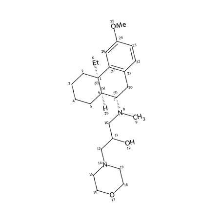 CC[C@@]12CCCC[C@@H]1[C@@H](N(C)CC(O)CN1CCOCC1)Cc1ccc(OC)cc12